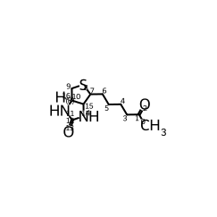 CC(=O)CCCCC1SC[C@@H]2NC(=O)NC12